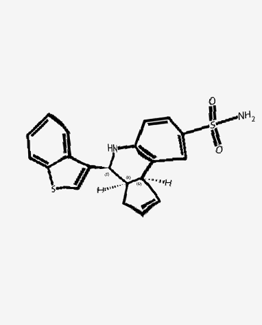 NS(=O)(=O)c1ccc2c(c1)[C@H]1C=CC[C@H]1[C@@H](c1csc3ccccc13)N2